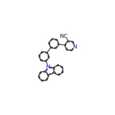 N#Cc1cnccc1-c1cccc(-c2cccc(-n3c4ccccc4c4ccccc43)c2)c1